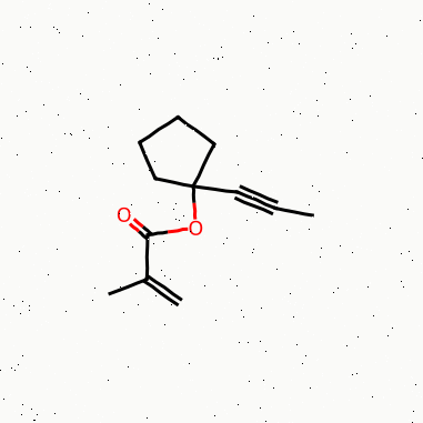 C=C(C)C(=O)OC1(C#CC)CCCC1